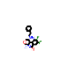 O=c1[nH]c2c(c3cc(F)c(F)cc13)[C@H](NCCc1ccccc1)COC2